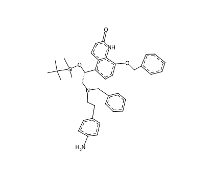 CC(C)(C)[Si](C)(C)O[C@@H](CN(CCc1ccc(N)cc1)Cc1ccccc1)c1ccc(OCc2ccccc2)c2[nH]c(=O)ccc12